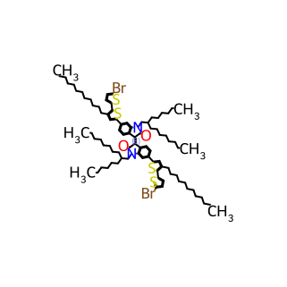 CCCCCCCCCCCCc1cc(-c2ccc3c(c2)N(CC(CCCCCC)CCCCCCCC)C(=O)/C3=C2/C(=O)N(CC(CCCCCC)CCCCCCCC)c3cc(-c4cc(CCCCCCCCCCCC)c(-c5ccc(Br)s5)s4)ccc32)sc1-c1ccc(Br)s1